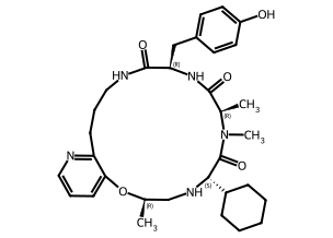 C[C@@H]1CN[C@@H](C2CCCCC2)C(=O)N(C)[C@H](C)C(=O)N[C@H](Cc2ccc(O)cc2)C(=O)NCCCc2ncccc2O1